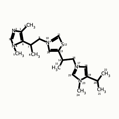 Cc1ncn(C)c1C(C)C[n+]1csc(C(C)C[n+]2cc(C(C)C)n(C)c2)c1